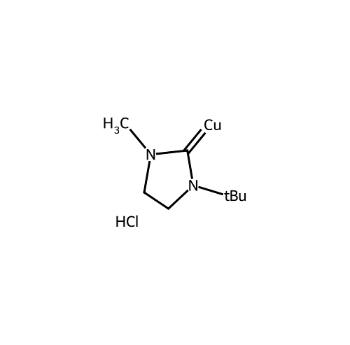 CN1CCN(C(C)(C)C)[C]1=[Cu].Cl